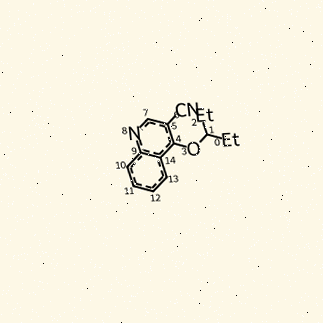 CCC(CC)Oc1c(C#N)cnc2ccccc12